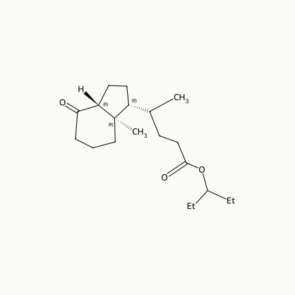 CCC(CC)OC(=O)CCC(C)[C@H]1CC[C@H]2C(=O)CCC[C@]12C